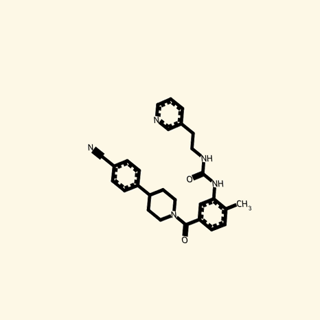 Cc1ccc(C(=O)N2CCC(c3ccc(C#N)cc3)CC2)cc1NC(=O)NCCc1cccnc1